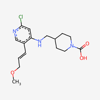 COCC=Cc1cnc(Cl)cc1NCC1CCN(C(=O)O)CC1